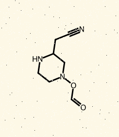 N#CCC1CN(OC=O)CCN1